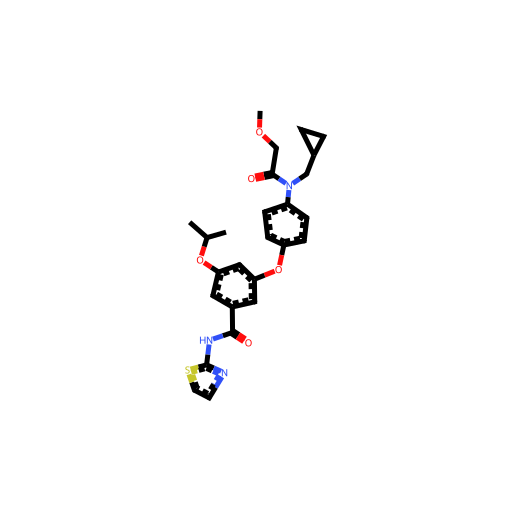 COCC(=O)N(CC1CC1)c1ccc(Oc2cc(OC(C)C)cc(C(=O)Nc3nccs3)c2)cc1